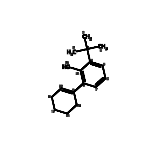 CC(C)(C)c1cccc(C2=CCCCC2)c1O